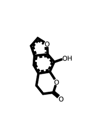 O=C1CCc2cc3ccoc3c(O)c2O1